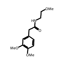 COCCNC(=O)Cc1ccc(OC)c(OC)c1